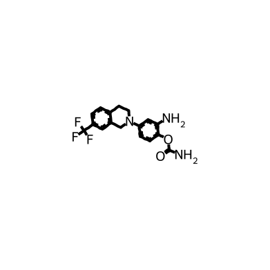 NC(=O)Oc1ccc(N2CCc3ccc(C(F)(F)F)cc3C2)cc1N